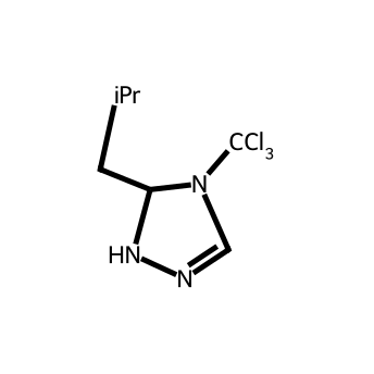 CC(C)CC1NN=CN1C(Cl)(Cl)Cl